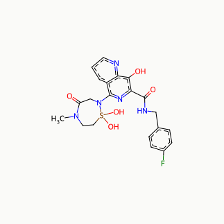 CN1CCS(O)(O)N(c2nc(C(=O)NCc3ccc(F)cc3)c(O)c3ncccc23)CC1=O